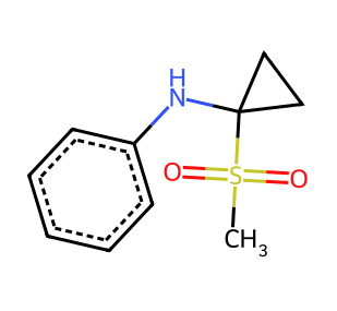 CS(=O)(=O)C1(Nc2ccccc2)CC1